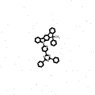 CC1(c2ccccc2)c2ccccc2-c2cc3c4ccccc4n(-c4ccc(-c5nc(-c6ccccc6)nc(-c6ccccc6)n5)cn4)c3cc21